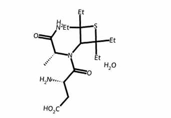 CCC1(CC)SC(CC)(CC)C1N(C(=O)[C@@H](N)CC(=O)O)[C@H](C)C(N)=O.O